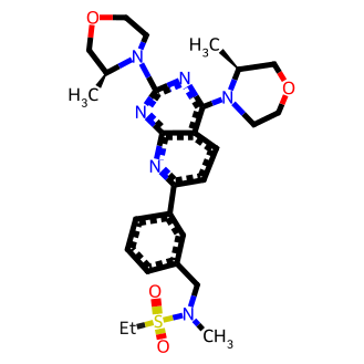 CCS(=O)(=O)N(C)Cc1cccc(-c2ccc3c(N4CCOC[C@@H]4C)nc(N4CCOC[C@@H]4C)nc3n2)c1